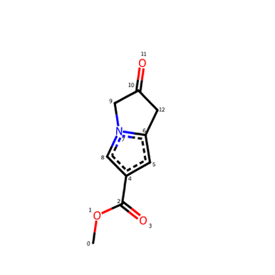 COC(=O)c1cc2n(c1)CC(=O)C2